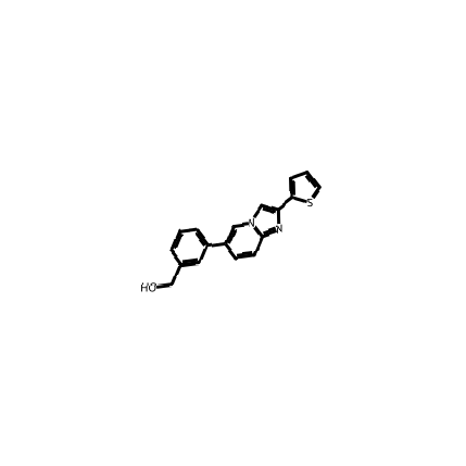 OCc1cccc(-c2ccc3nc(-c4cccs4)cn3c2)c1